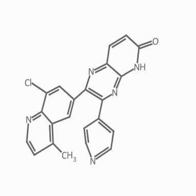 Cc1ccnc2c(Cl)cc(-c3nc4ccc(=O)[nH]c4nc3-c3ccncc3)cc12